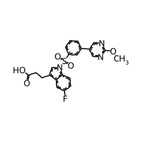 COc1ncc(-c2cccc(S(=O)(=O)n3cc(CCC(=O)O)c4cc(F)ccc43)c2)cn1